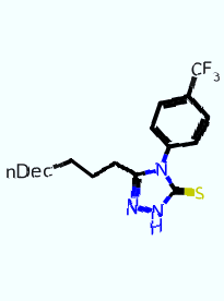 CCCCCCCCCCCCCc1n[nH]c(=S)n1-c1ccc(C(F)(F)F)cc1